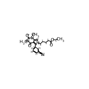 CCOC(=O)CCCCn1cc2c(c1-c1cccc(C#N)c1)c(=O)n(C)c(=O)n2C